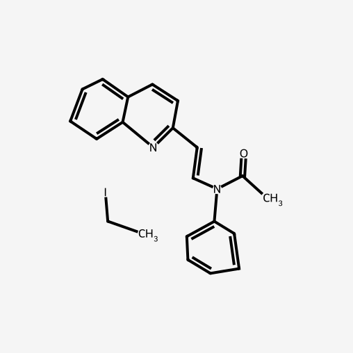 CC(=O)N(C=Cc1ccc2ccccc2n1)c1ccccc1.CCI